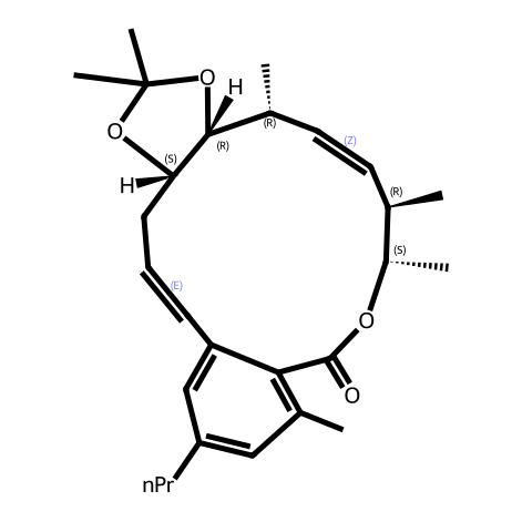 CCCc1cc(C)c2c(c1)/C=C/C[C@@H]1OC(C)(C)O[C@@H]1[C@H](C)/C=C\[C@@H](C)[C@H](C)OC2=O